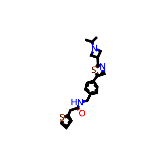 CC(C)N1CC(c2ncc(-c3ccc(CNC(=O)Cc4cccs4)cc3)s2)C1